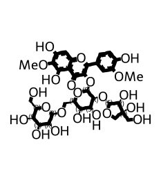 COc1cc(-c2oc3cc(O)c(OC)c(O)c3c(=O)c2O[C@@H]2O[C@H](CO[C@@H]3O[C@H](CO)[C@@H](O)[C@H](O)[C@H]3O)[C@@H](O)[C@H](O)[C@H]2O[C@@H]2OC[C@](O)(CO)[C@H]2O)ccc1O